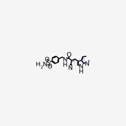 C/C=C1/C(/C=C(\C#N)C(=O)NCc2ccc(S(N)(=O)=O)cc2)=CN/C1=N/C